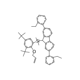 C=CCOc1c(C(C)(C)C)cc(C(C)(C)C)cc1[Si](C)(C)C1c2cc(-c3ccccc3CC)ccc2-c2ccc(-c3ccccc3CC)cc21